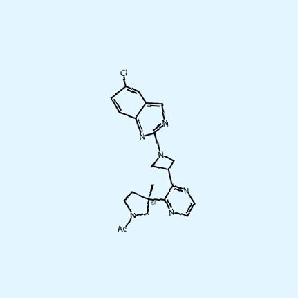 CC(=O)N1CC[C@](C)(c2nccnc2C2CN(c3ncc4cc(Cl)ccc4n3)C2)C1